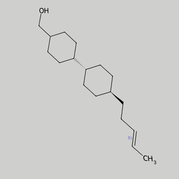 C/C=C/CC[C@H]1CC[C@H](C2CCC(CO)CC2)CC1